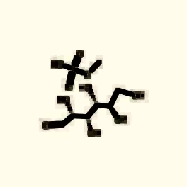 COS(=O)(=O)O.O=C[C@H](O)[C@@H](O)[C@H](O)[C@H](O)CO